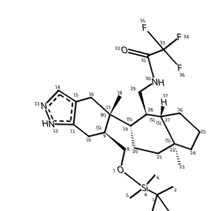 CC(C)(C)[Si](C)(C)OC[C@H]1Cc2[nH]ncc2C[C@]1(C)[C@H]1CC[C@]2(C)CCC[C@H]2[C@@H]1CNC(=O)C(F)(F)F